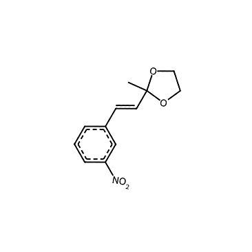 CC1(/C=C/c2cccc([N+](=O)[O-])c2)OCCO1